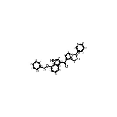 O=C(c1ccn2c1CSC2c1cccnc1)c1c[nH]c2c(OCc3ccccc3)cccc12